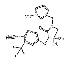 CC1(C)CN(Cc2cccc(O)c2)C(=O)C1Oc1ccc(C#N)c(C(F)(F)F)c1